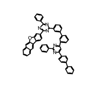 c1ccc(-c2ccc(-c3cc(-c4cccc(-c5cccc(-c6nc(-c7ccccc7)nc(-c7ccc8c(c7)oc7cc9ccccc9cc78)n6)c5)c4)nc(-c4ccccc4)n3)cc2)cc1